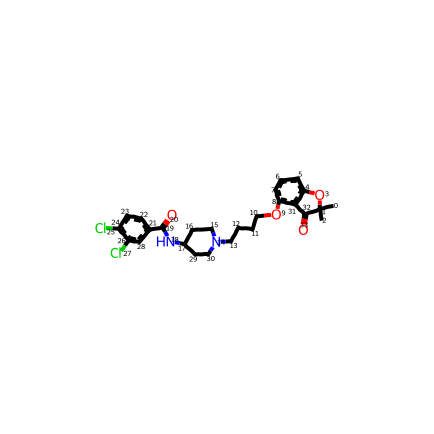 CC1(C)Oc2cccc(OCCCCN3CCC(NC(=O)c4ccc(Cl)c(Cl)c4)CC3)c2C1=O